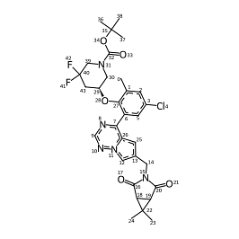 Cc1cc(Cl)cc(-c2ncnn3cc(CN4C(=O)C5C(C4=O)C5(C)C)cc23)c1O[C@@H]1CN(C(=O)OC(C)(C)C)CC(F)(F)C1